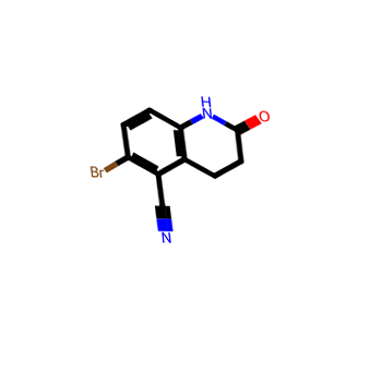 N#Cc1c(Br)ccc2c1CCC(=O)N2